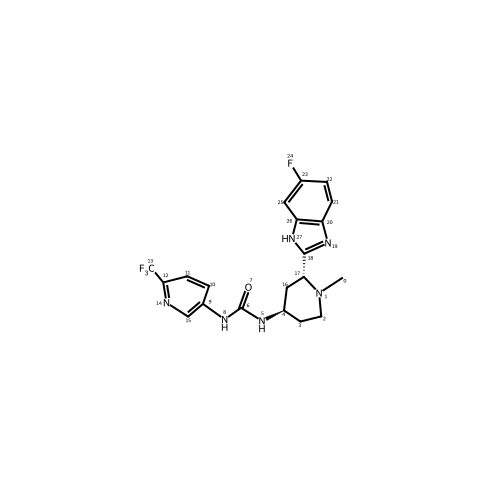 CN1CC[C@@H](NC(=O)Nc2ccc(C(F)(F)F)nc2)C[C@@H]1c1nc2ccc(F)cc2[nH]1